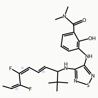 C\C=C(F)/C(F)=C\C=C\C(Nc1nsnc1Nc1cccc(C(=O)N(C)C)c1O)C(C)(C)C